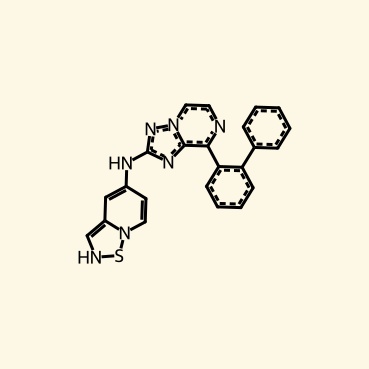 C1=CN2SNC=C2C=C1Nc1nc2c(-c3ccccc3-c3ccccc3)nccn2n1